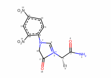 CC[C@@H](C(N)=O)[N+]1=CN(c2ccc([N+](=O)[O-])cc2[N+](=O)[O-])CC1=O